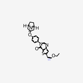 CCO/C=C\c1cc2ncn(-c3ccc(O[C@H]4C[C@H]5CC[C@@H](C4)N5C)cc3)c(=O)c2s1